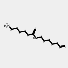 C=CCCCCCNC(=C)CCCCCN